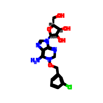 NC1=c2ncn([C@@H]3O[C@H](CO)[C@@H](O)[C@H]3O)c2=NCN1OCc1cccc(Cl)c1